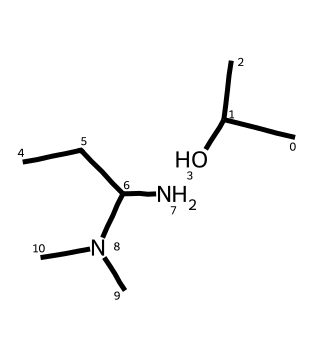 CC(C)O.CCC(N)N(C)C